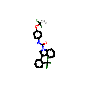 CC(F)(F)Oc1ccc(NC(=O)n2cc(-c3ccccc3C(F)(F)F)c3ccccc32)cc1